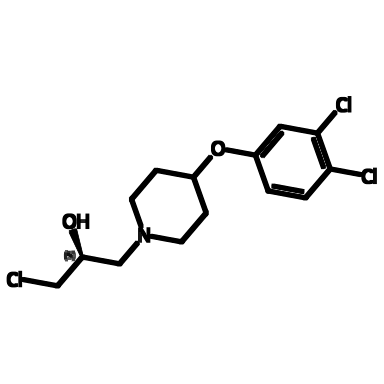 O[C@H](CCl)CN1CCC(Oc2ccc(Cl)c(Cl)c2)CC1